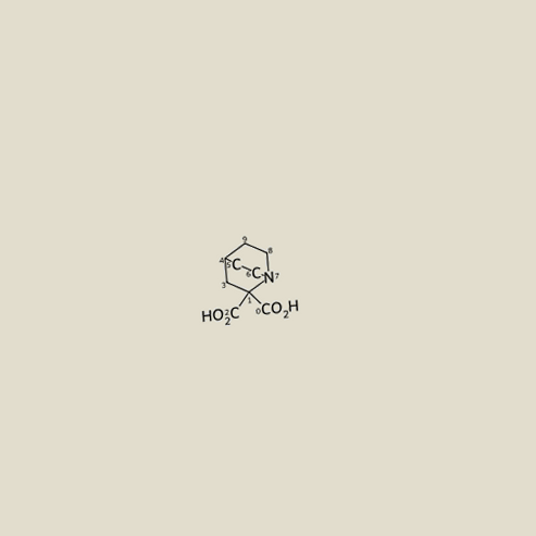 O=C(O)C1(C(=O)O)CC2CCN1CC2